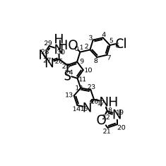 OC(c1ccc(Cl)cc1)c1cc(-c2ccnc(Nc3ncco3)c2)sc1-c1nnc[nH]1